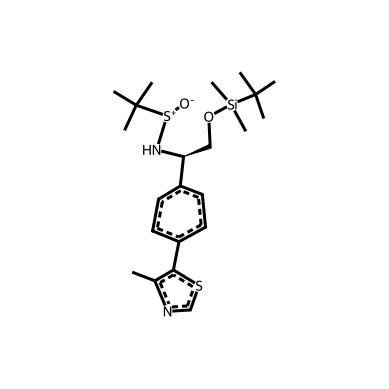 Cc1ncsc1-c1ccc([C@H](CO[Si](C)(C)C(C)(C)C)N[S+]([O-])C(C)(C)C)cc1